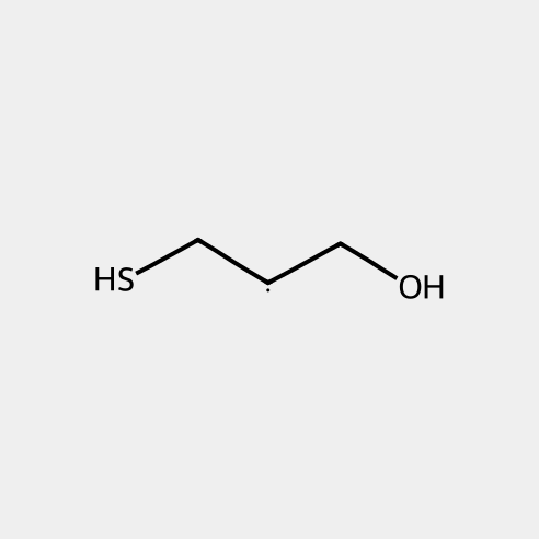 OC[CH]CS